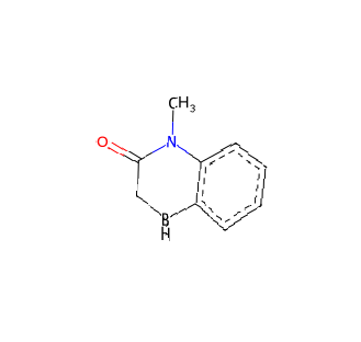 CN1C(=O)CBc2ccccc21